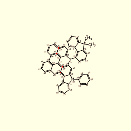 CC1(C)c2ccccc2-c2c(N(c3ccc4c5ccccc5n(-c5ccccc5)c4c3)c3ccccc3-c3cccc4cccc(-c5ccccc5)c34)cccc21